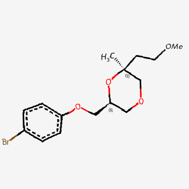 COCC[C@@]1(C)COC[C@@H](COc2ccc(Br)cc2)O1